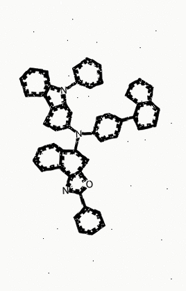 c1ccc(-c2nc3c(cc(N(c4ccc(-c5cccc6ccccc56)cc4)c4ccc5c6ccccc6n(-c6ccccc6)c5c4)c4ccccc43)o2)cc1